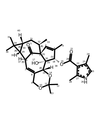 CC1=C[C@]23C(=O)[C@@H](C=C4COC(C)(C)O[C@H]4[C@]2(O)[C@H]1OC(=O)c1c(C)c[nH]c1C)[C@H]1[C@@H](C[C@H]3C)C1(C)C